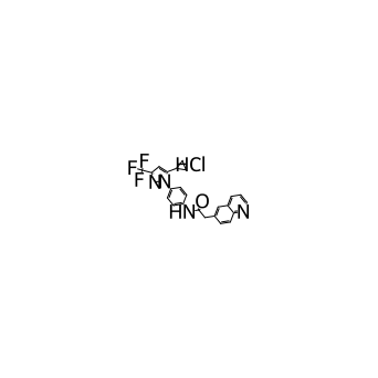 Cl.O=C(Cc1ccc2ncccc2c1)Nc1ccc(-n2nc(C(F)(F)F)cc2C2CC2)cc1